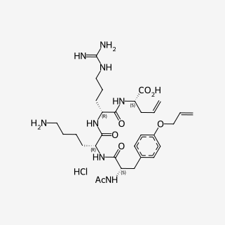 C=CCOc1ccc(C[C@H](NC(C)=O)C(=O)N[C@H](CCCCN)C(=O)N[C@H](CCCNC(=N)N)C(=O)N[C@@H](CC=C)C(=O)O)cc1.Cl